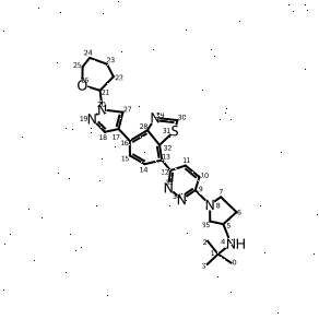 CC(C)(C)NC1CCN(c2ccc(-c3ccc(-c4cnn(C5CCCCO5)c4)c4ncsc34)nn2)C1